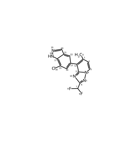 Cc1ccn2nc(C(F)F)nc2c1-c1cc(Cl)c2[nH]ncc2c1